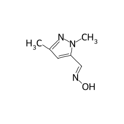 Cc1cc(C=NO)n(C)n1